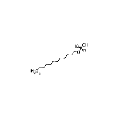 C.CCCCCCCCCCCCOP(=O)(O)O